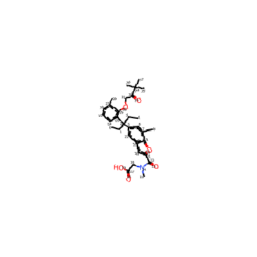 CCC(CC)(c1cc(C)c2oc(C(=O)N(C)CC(=O)O)cc2c1)c1cccc(C)c1OCC(=O)C(C)(C)C